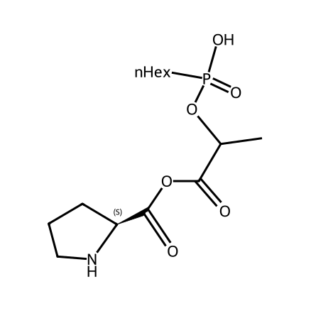 CCCCCCP(=O)(O)OC(C)C(=O)OC(=O)[C@@H]1CCCN1